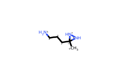 CC1(CCCN)NN1